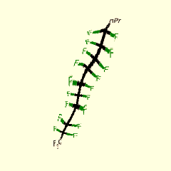 [CH2]CCC(F)(F)C(F)(F)C(F)(F)C(F)(F)C(F)(F)C(F)(F)C(F)(F)C(F)(F)C(F)(F)C(F)(F)F